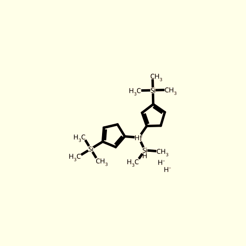 C[SiH](C)[Hf]([C]1=CC([Si](C)(C)C)=CC1)[C]1=CC([Si](C)(C)C)=CC1.[H-].[H-]